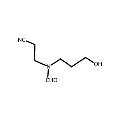 N#CCCN(C=O)CCCO